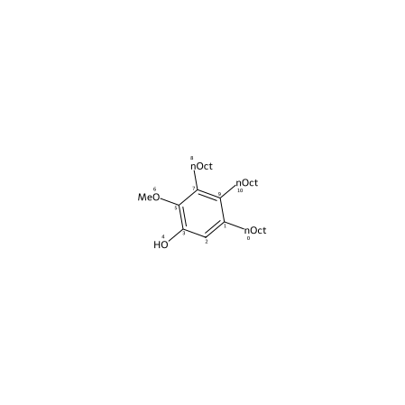 CCCCCCCCc1cc(O)c(OC)c(CCCCCCCC)c1CCCCCCCC